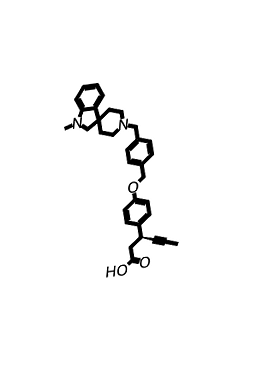 CC#C[C@@H](CC(=O)O)c1ccc(OCc2ccc(CN3CCC4(CC3)CN(C)c3ccccc34)cc2)cc1